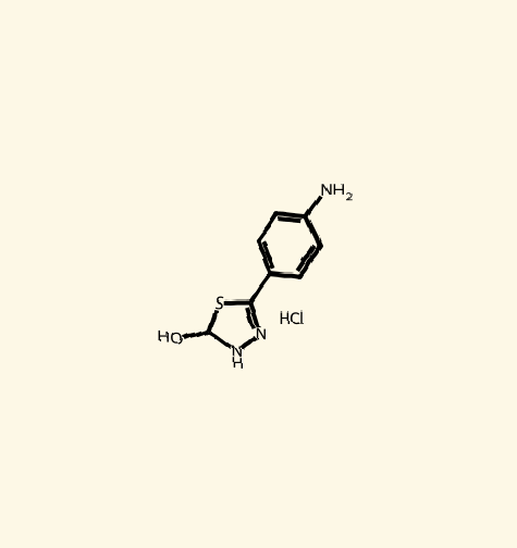 Cl.Nc1ccc(C2=NNC(O)S2)cc1